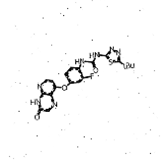 CC(C)(C)c1nnc(NC(=O)Nc2ccc(Oc3ccnc4[nH]c(=O)cnc34)cc2F)s1